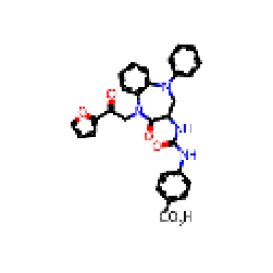 O=C(Nc1ccc(C(=O)O)cc1)NC1CN(c2ccccc2)c2ccccc2N(CC(=O)c2ccco2)C1=O